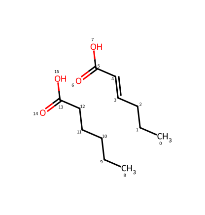 CCCC=CC(=O)O.CCCCCC(=O)O